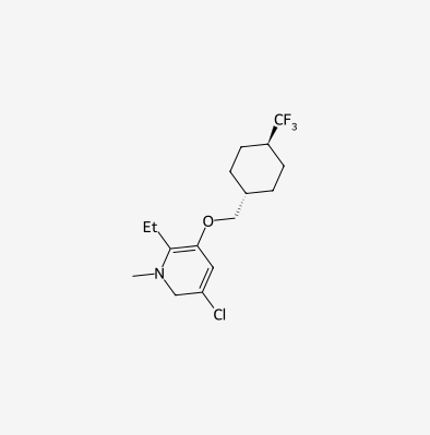 CCC1=C(OC[C@H]2CC[C@H](C(F)(F)F)CC2)C=C(Cl)CN1C